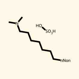 CCCCCCCCCCCCCCCCN(C)C.O=S(=O)(O)O